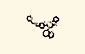 Cn1c(CN(Cc2ccc(CNCc3ccccn3)cc2)C2CCCCc3cccnc32)nc2ccccc21